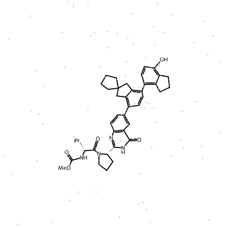 COC(=O)N[C@@H](C(=O)N1CCC[C@H]1c1nc2ccc(-c3ccc(-c4ccc(O)c5c4CCC5)c4c3CC3(CCCC3)C4)cc2c(=O)[nH]1)C(C)C